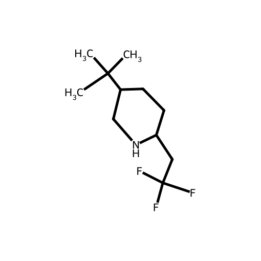 CC(C)(C)C1CCC(CC(F)(F)F)NC1